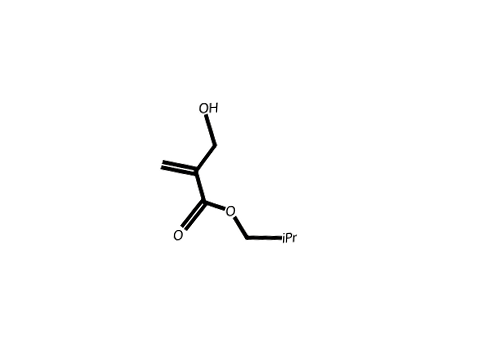 C=C(CO)C(=O)OCC(C)C